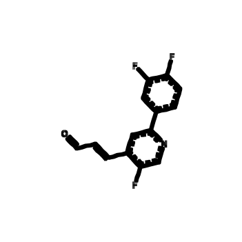 O=CC=Cc1cc(-c2ccc(F)c(F)c2)ncc1F